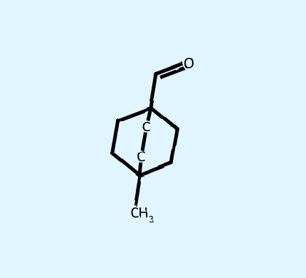 CC12CCC(C=O)(CC1)CC2